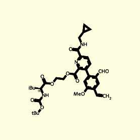 C=Cc1cc(C=O)c(-c2ccc(C(=O)NCC3CC3)nc2C(=O)OCCOC(=O)[C@@H](NC(=O)OC(C)(C)C)C(C)CC)cc1OC